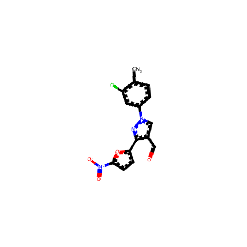 Cc1ccc(-n2cc(C=O)c(-c3ccc([N+](=O)[O-])o3)n2)cc1Cl